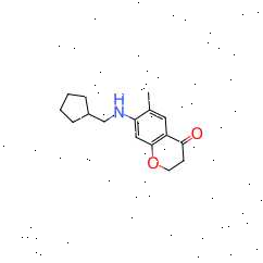 Cc1cc2c(cc1NCC1CCCC1)OCCC2=O